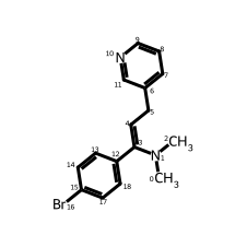 CN(C)C(=CCc1cccnc1)c1ccc(Br)cc1